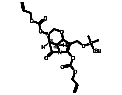 C=CCOC(=O)OC1=C(CO[Si](C)(C)C(C)(C)C)C2OCN(OC(=O)OCC=C)[C@@H]3C(=O)N1[C@H]23